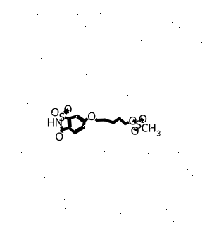 CS(=O)(=O)OCCCCCOc1ccc2c(c1)S(=O)(=O)NC2=O